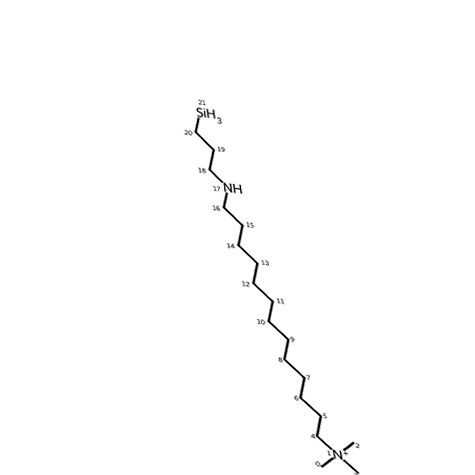 C[N+](C)(C)CCCCCCCCCCCCCNCCC[SiH3]